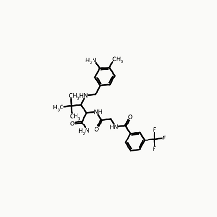 Cc1ccc(CNC(C(NC(=O)CNC(=O)c2cccc(C(F)(F)F)c2)C(N)=O)C(C)(C)C)cc1N